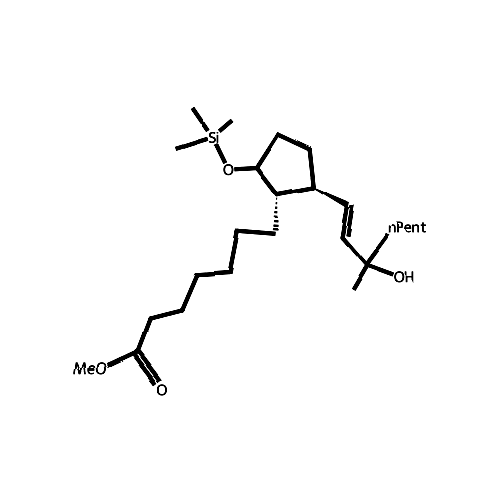 CCCCCC(C)(O)C=C[C@@H]1CCC(O[Si](C)(C)C)[C@H]1CCCCCCC(=O)OC